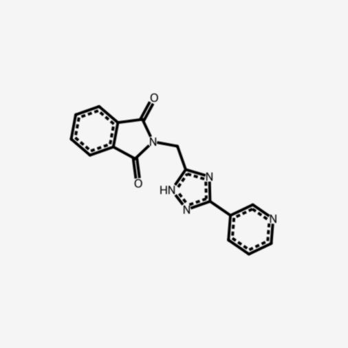 O=C1c2ccccc2C(=O)N1Cc1nc(-c2cccnc2)n[nH]1